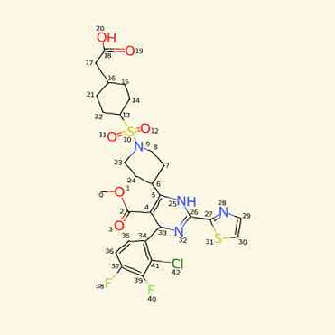 COC(=O)C1=C(C2CCN(S(=O)(=O)C3CCC(CC(=O)O)CC3)CC2)NC(c2nccs2)=NC1c1ccc(F)c(F)c1Cl